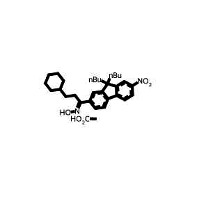 CC(=O)O.CCCCC1(CCCC)c2cc(/C(CCC3CCCCC3)=N/O)ccc2-c2ccc([N+](=O)[O-])cc21